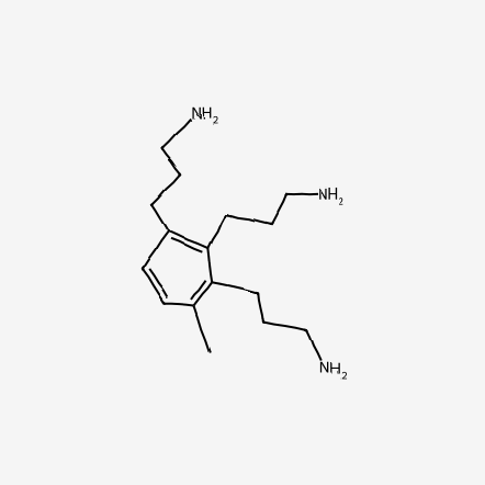 Cc1ccc(CCCN)c(CCCN)c1CCCN